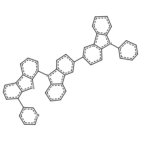 c1ccc(-n2c3ccccc3c3cc(-c4ccc5c(c4)c4ccccc4n5-c4cccc5c4sc4c(-c6cccnc6)cccc45)ccc32)cc1